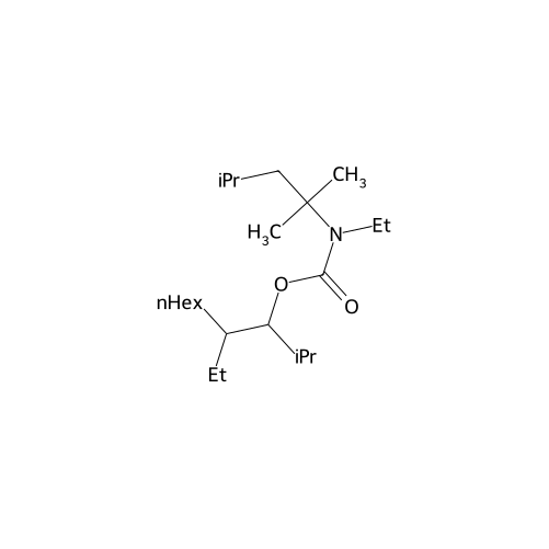 CCCCCCC(CC)C(OC(=O)N(CC)C(C)(C)CC(C)C)C(C)C